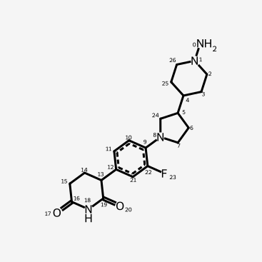 NN1CCC(C2CCN(c3ccc(C4CCC(=O)NC4=O)cc3F)C2)CC1